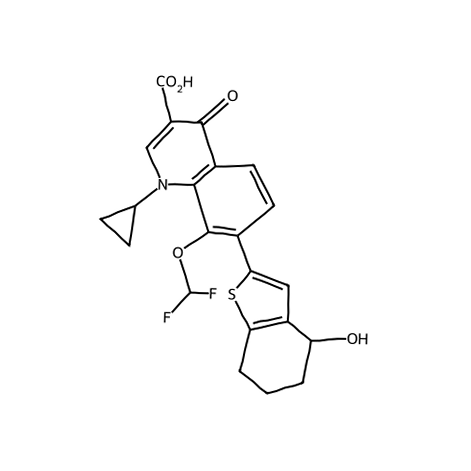 O=C(O)c1cn(C2CC2)c2c(OC(F)F)c(-c3cc4c(s3)CCCC4O)ccc2c1=O